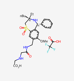 CCCC[C@]1(CC)CS(=O)(=O)c2cc(CNC(=O)CNCC(=O)O)c(OC)cc2[C@@H](c2ccccc2)N1.O=C(O)C(F)(F)F